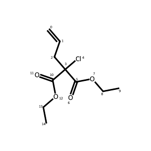 C=CCC(Cl)(C(=O)OCC)C(=O)OCC